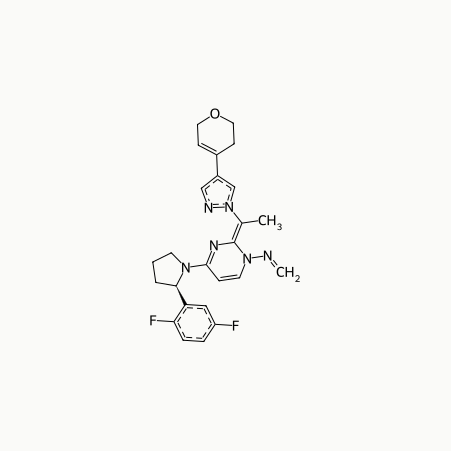 C=NN1C=CC(N2CCC[C@@H]2c2cc(F)ccc2F)=N/C1=C(/C)n1cc(C2=CCOCC2)cn1